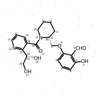 O=Cc1c(O)cccc1OC[C@H]1CCCCN1C(=O)c1cccnc1[C@H](O)CO